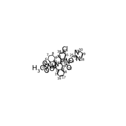 CS(=O)(=O)N[C@H]1CCCCC1N1C(=O)c2ccccc2[C@@H](C(=O)NOCc2ncccn2)[C@@H]1c1ccc(Cl)cc1